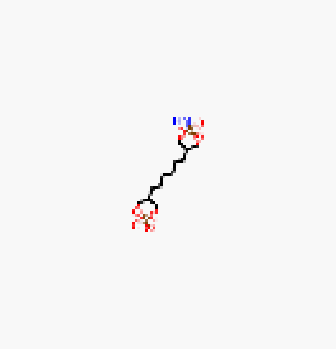 N=S1(=O)OCC(CCCCCCC2COS(=O)(=O)OC2)CO1